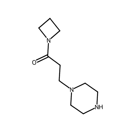 O=C(CCN1CCNCC1)N1CCC1